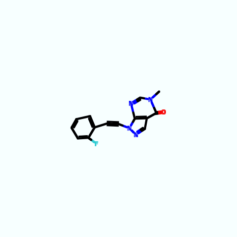 Cn1cnc2c(cnn2C#Cc2ccccc2F)c1=O